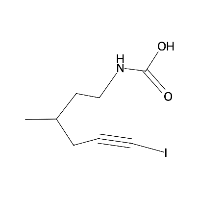 CC(CC#CI)CCNC(=O)O